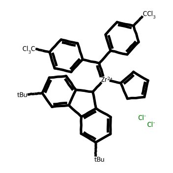 CC(C)(C)c1ccc2c(c1)-c1cc(C(C)(C)C)ccc1[CH]2[Zr+2]([C]1=CC=CC1)=[C](c1ccc(C(Cl)(Cl)Cl)cc1)c1ccc(C(Cl)(Cl)Cl)cc1.[Cl-].[Cl-]